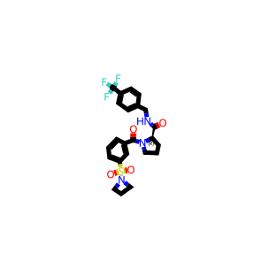 O=C(NCc1ccc(C(F)(F)F)cc1)[C@H]1CCCN1C(=O)c1cccc(S(=O)(=O)N2CCC2)c1